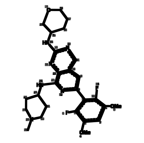 COc1cc(OC)c(F)c(-c2cc3cnc(NC4CCCOC4)nc3c(NC3CCN(C)CC3)n2)c1F